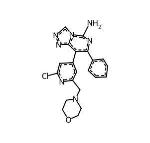 Nc1nc(-c2ccccc2)c(-c2cc(Cl)nc(CN3CCOCC3)c2)c2nncn12